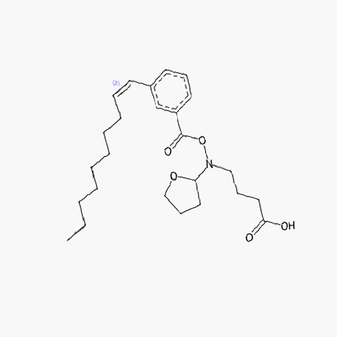 CCCCCCCC/C=C\c1cccc(C(=O)ON(CCCC(=O)O)C2CCCO2)c1